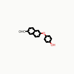 O=Cc1ccc2cc(Oc3ccc(O)cc3)ccc2c1